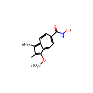 CCCCCCc1c2ccc(C(=O)NO)ccc-2c(OC(=O)OCC)c1C